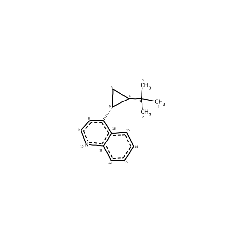 CC(C)(C)C1C[C@H]1c1ccnc2ccccc12